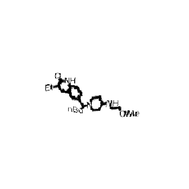 CCCCC(c1ccc2[nH]c(=O)c(CC)cc2c1)N1CCC(NCCOC)CC1